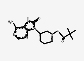 CC(C)(C)C(=O)ON1CCCC(n2c(=O)[nH]c3c(N)ncnc32)C1